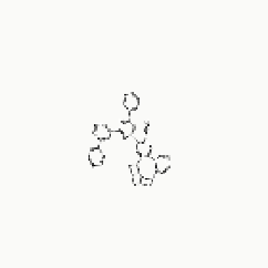 N#Cc1cc2c(cc1-c1nc(-c3ccccc3)nc(-c3cccc(-c4ccccc4)c3)n1)C1CC3CC4CC(CC431)c1ccncc1-2